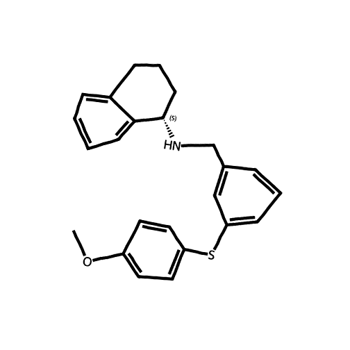 COc1ccc(Sc2cccc(CN[C@H]3CCCc4ccccc43)c2)cc1